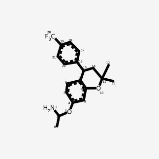 CC(N)Oc1ccc2c(c1)OC(C)(C)CC2c1ccc(C(F)(F)F)cc1